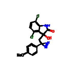 COc1ccc(C2(CC3(O)C(=O)Nc4c(Cl)ccc(Cl)c43)N=N2)cc1